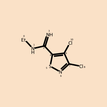 CCNC(=N)c1snc(Cl)c1Cl